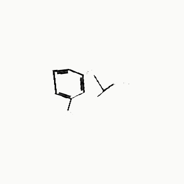 CCCCCCC([O])CCC.N#Cc1ccccc1